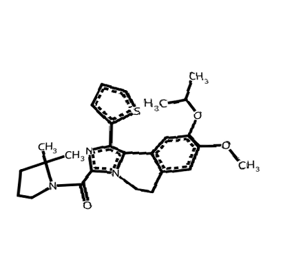 COc1cc2c(cc1OC(C)C)-c1c(-c3cccs3)nc(C(=O)N3CCCC3(C)C)n1CC2